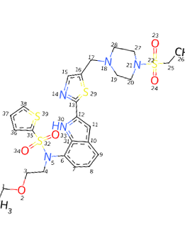 CCOCCN(c1cccc2cc(-c3ncc(CN4CCN(S(=O)(=O)CC)CC4)s3)[nH]c12)S(=O)(=O)c1cccs1